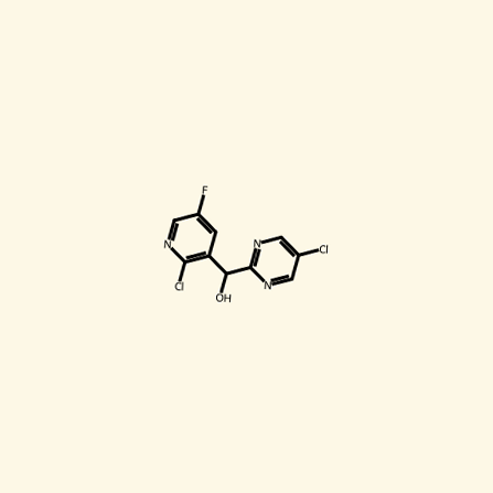 OC(c1ncc(Cl)cn1)c1cc(F)cnc1Cl